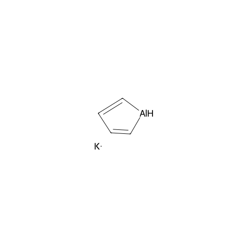 C1=[CH][AlH][CH]=C1.[K]